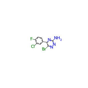 Nc1nnc(Br)c(-c2ccc(F)c(Cl)c2)n1